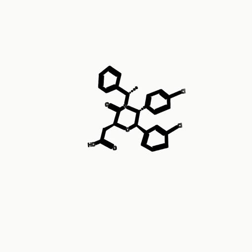 C[C@@H](c1ccccc1)N1C(=O)[C@H](CC(=O)O)O[C@H](c2cccc(Cl)c2)[C@H]1c1ccc(Cl)cc1